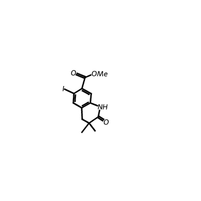 COC(=O)c1cc2c(cc1I)CC(C)(C)C(=O)N2